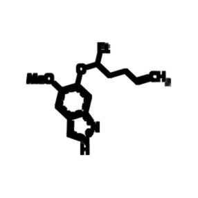 C=CCCC(CC)Oc1cc2n[nH]cc2cc1OC